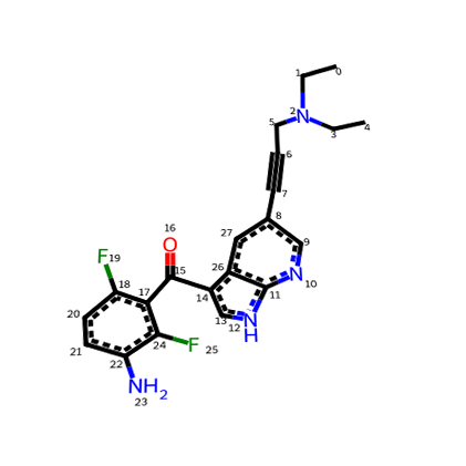 CCN(CC)CC#Cc1cnc2[nH]cc(C(=O)c3c(F)ccc(N)c3F)c2c1